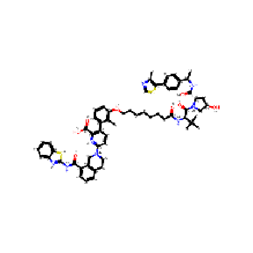 Cc1ncsc1-c1ccc(C(C)NC(=O)[C@@H]2C[C@@H](O)CN2C(=O)C(NC(=O)CCCCCCCOc2cccc(-c3ccc(N4CCc5cccc(C(=O)Nc6nc7ccccc7s6)c5C4)nc3C(=O)O)c2C)C(C)(C)C)cc1